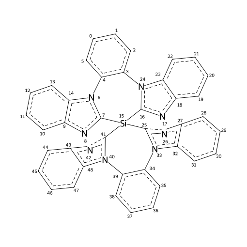 c1ccc2c(c1)-n1c(nc3ccccc31)[Si]1(c3nc4ccccc4n3-2)c2nc3ccccc3n2-c2ccccc2-n2c1nc1ccccc12